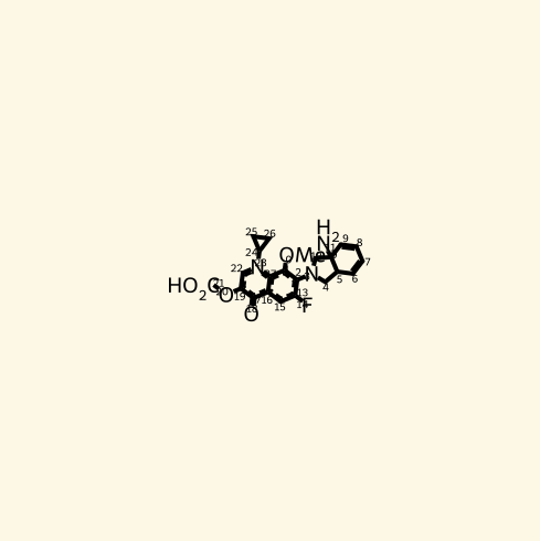 COc1c(N2CC3C=CC=CC3(N)C2)c(F)cc2c(=O)c(OC(=O)O)cn(C3CC3)c12